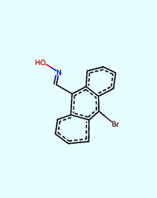 ON=Cc1c2ccccc2c(Br)c2ccccc12